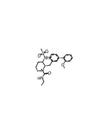 CCNC(=O)N1CCC[C@@H](NS(C)(=O)=O)[C@H]1Cc1cccc(-c2ccccc2OC)c1